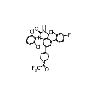 O=C1NCc2c(-c3ccc(F)cc3Cl)cc(C3=CCN(C(=O)C(F)(F)F)CC3)cc2N1c1c(Cl)cccc1Cl